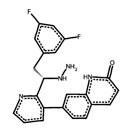 NN[C@@H](Cc1cc(F)cc(F)c1)c1ncccc1-c1ccc2ccc(=O)[nH]c2c1